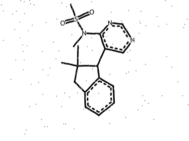 CN(c1ncncc1C1c2ccccc2CC1(C)C)S(C)(=O)=O